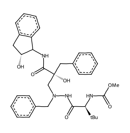 COC(=O)N[C@H](C(=O)NN(Cc1ccccc1)C[C@](O)(Cc1ccccc1)C(=O)NC1c2ccccc2C[C@H]1O)C(C)(C)C